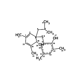 CC1=CC(CC(C)C)(Sc2cc(C)cc(C)c2O)C(O)C(C)=C1